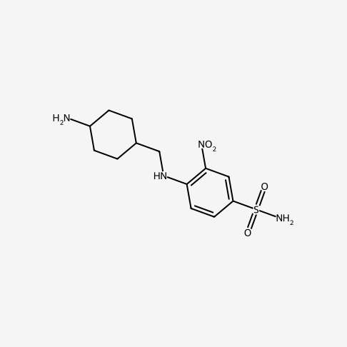 NC1CCC(CNc2ccc(S(N)(=O)=O)cc2[N+](=O)[O-])CC1